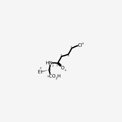 CC[C@H](NC(=O)CCCCl)C(=O)O